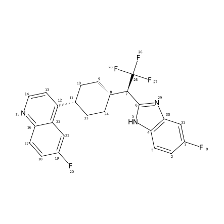 Fc1ccc2[nH]c([C@@H]([C@H]3CC[C@@H](c4ccnc5ccc(F)cc54)CC3)C(F)(F)F)nc2c1